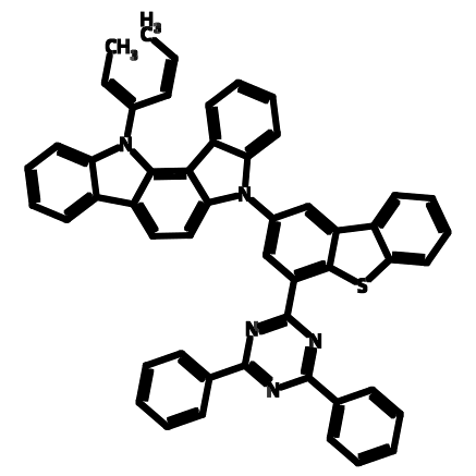 C/C=C\C(=C/C)n1c2ccccc2c2ccc3c(c4ccccc4n3-c3cc(-c4nc(-c5ccccc5)nc(-c5ccccc5)n4)c4sc5ccccc5c4c3)c21